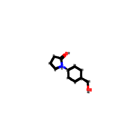 O=C1CCCN1[C@H]1CC[C@H](CO)CC1